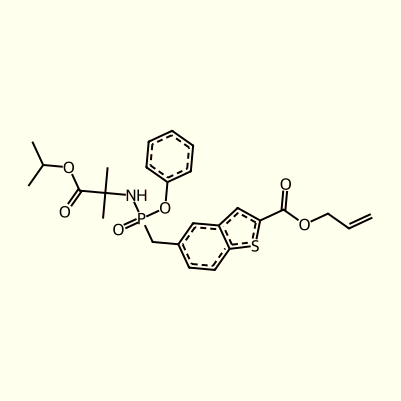 C=CCOC(=O)c1cc2cc(CP(=O)(NC(C)(C)C(=O)OC(C)C)Oc3ccccc3)ccc2s1